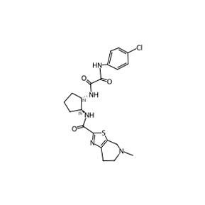 CN1CCc2nc(C(=O)N[C@H]3CCC[C@@H]3NC(=O)C(=O)Nc3ccc(Cl)cc3)sc2C1